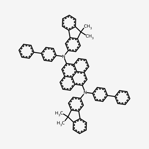 CC1(C)c2ccccc2-c2cc(N(c3ccc(-c4ccccc4)cc3)c3cc4cccc5c(N(c6ccc(-c7ccccc7)cc6)c6ccc7c(c6)-c6ccccc6C7(C)C)cc6cccc3c6c45)ccc21